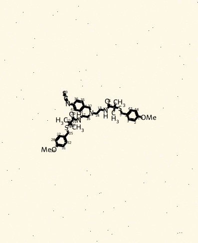 COc1ccc(CSC(C)(C)C(=O)NCCN(CCNC(=O)C(C)(C)SCc2ccc(OC)cc2)Cc2ccc(N=C=S)cc2)cc1